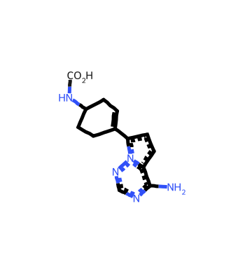 Nc1ncnn2c(C3=CCC(NC(=O)O)CC3)ccc12